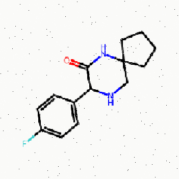 O=C1NC2(CCCC2)CNC1c1ccc(F)cc1